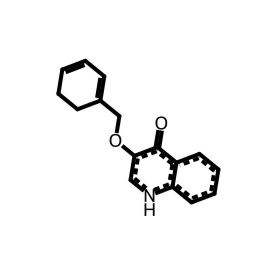 O=c1c(OCC2=CC=CCC2)c[nH]c2ccccc12